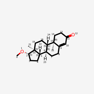 CO[C@H]1CC[C@H]2[C@@H]3CCC4=CC(=O)CC[C@]4(C)[C@H]3CC[C@]12C